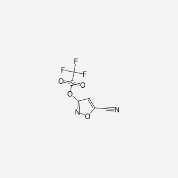 N#Cc1cc(OS(=O)(=O)C(F)(F)F)no1